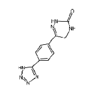 O=C1NCC(c2ccc(-c3nnn[nH]3)cc2)=NN1